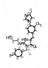 COc1cc(/C=C2\N/C(=N\CCO)N([C@H](C)c3ccc(F)cc3)C2=O)ccc1-n1cnc(C)c1